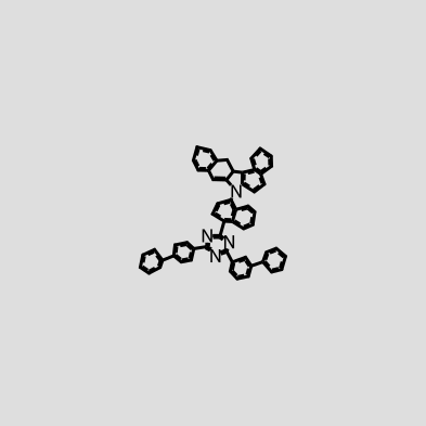 C1=C2C(Cc3ccccc31)c1c(ccc3ccccc13)N2c1ccc(-c2nc(-c3ccc(-c4ccccc4)cc3)nc(-c3cccc(-c4ccccc4)c3)n2)c2ccccc12